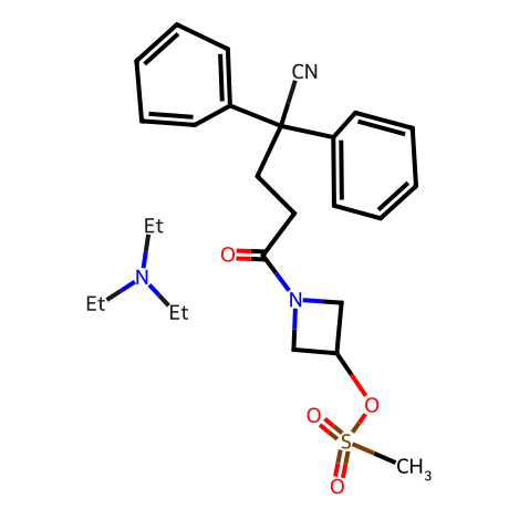 CCN(CC)CC.CS(=O)(=O)OC1CN(C(=O)CCC(C#N)(c2ccccc2)c2ccccc2)C1